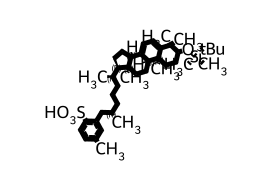 Cc1ccc(S(=O)(=O)O)c(C[C@H](C)CCC[C@@H](C)[C@H]2CC[C@H]3C4=CC=C5C(C)(C)C(O[Si](C)(C)C(C)(C)C)CC[C@]5(C)[C@H]4CC[C@]23C)c1